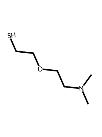 CN(C)CCOCCS